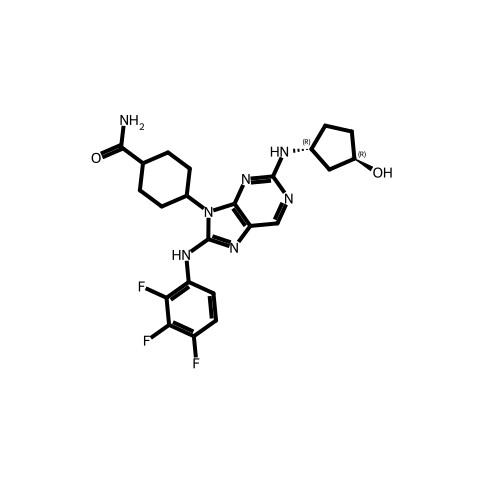 NC(=O)C1CCC(n2c(Nc3ccc(F)c(F)c3F)nc3cnc(N[C@@H]4CC[C@@H](O)C4)nc32)CC1